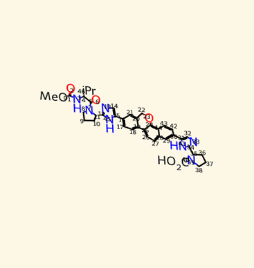 COC(=O)N[C@H](C(=O)N1CCC[C@H]1c1ncc(-c2ccc3c(c2)COc2c-3ccc3cc(-c4cnc(C5CCCN5C(=O)O)[nH]4)ccc23)[nH]1)C(C)C